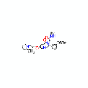 COc1cccc(-c2cn3cc(OCCCN4CCCCC4C)cc3c(=O)n2CC(=O)NC(C)C)c1